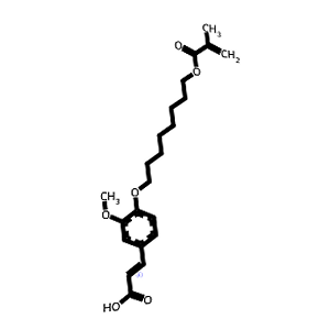 C=C(C)C(=O)OCCCCCCCCOc1ccc(/C=C/C(=O)O)cc1OC